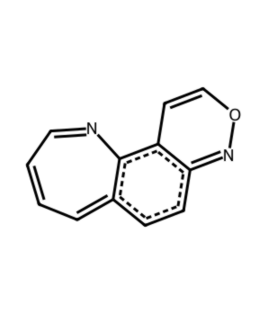 C1=CC=c2ccc3c(c2N=C1)C=CON=3